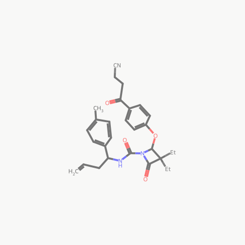 C=CCC(NC(=O)N1C(=O)C(CC)(CC)C1Oc1ccc(C(=O)CCC#N)cc1)c1ccc(C)cc1